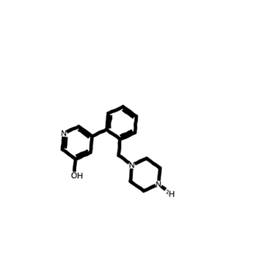 [2H]N1CCN(Cc2ccccc2-c2cncc(O)c2)CC1